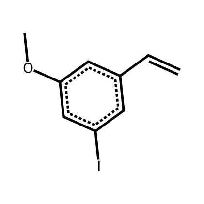 C=Cc1cc(I)cc(OC)c1